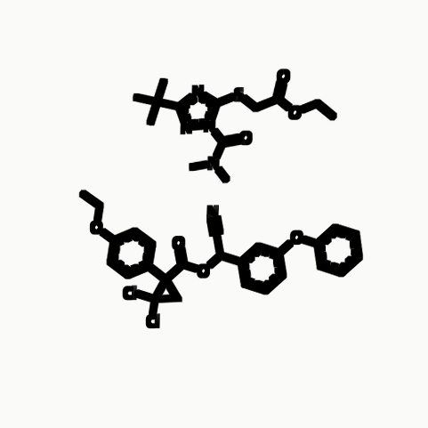 CCOC(=O)CSc1nc(C(C)(C)C)nn1C(=O)N(C)C.CCOc1ccc(C2(C(=O)OC(C#N)c3cccc(Oc4ccccc4)c3)CC2(Cl)Cl)cc1